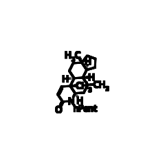 CCCCCN1C(=O)C=C[C@]2(C)[C@H]3CC[C@]4(C)CCC[C@H]4[C@@H]3[C@@H](C)C[C@@H]12